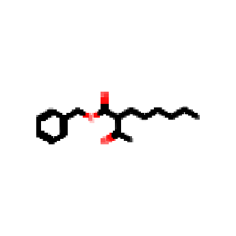 CCCCCCC(C(C)=O)C(=O)OCc1ccccc1